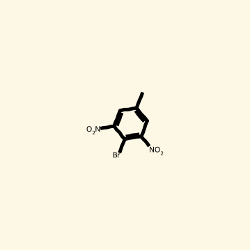 Cc1cc([N+](=O)[O-])c(Br)c([N+](=O)[O-])c1